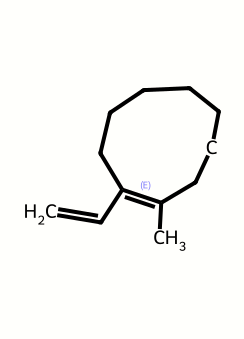 C=C/C1=C(\C)CCCCCCC1